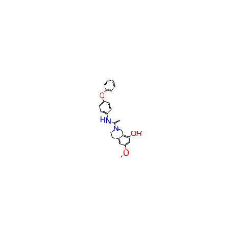 C=C(Nc1ccc(Oc2ccccc2)cc1)N1CCc2cc(OC)cc(O)c2C1